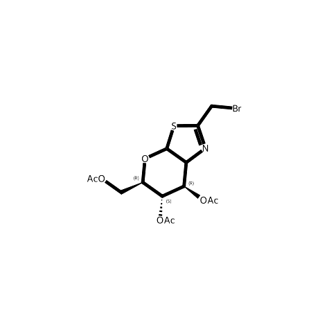 CC(=O)OC[C@H]1OC2SC(CBr)=NC2[C@@H](OC(C)=O)[C@@H]1OC(C)=O